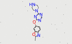 Cc1nc2ccc(Oc3ncnc(N4CCNCC4)n3)cc2o1